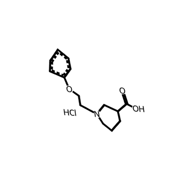 Cl.O=C(O)C1CCCN(CCOc2ccccc2)C1